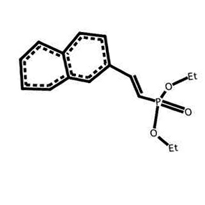 CCOP(=O)(C=Cc1ccc2ccccc2c1)OCC